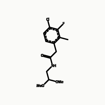 COC(CNC(=O)Cc1ccc(Cl)c(F)c1C)OC